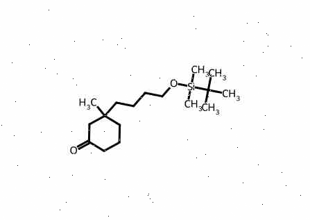 CC1(CCCCO[Si](C)(C)C(C)(C)C)CCCC(=O)C1